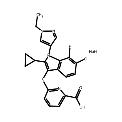 CCn1cc(-n2c(C3CC3)c(Sc3cccc(C(=O)O)n3)c3ccc(Cl)c(F)c32)cn1.[NaH]